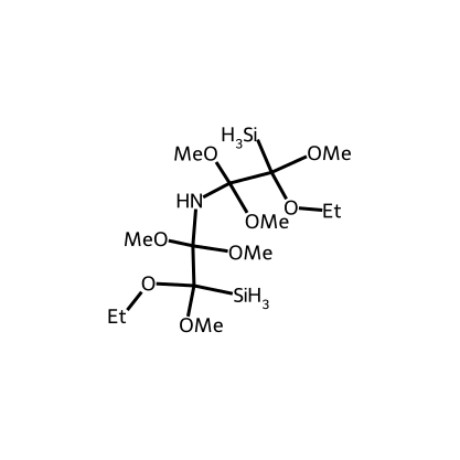 CCOC([SiH3])(OC)C(NC(OC)(OC)C([SiH3])(OC)OCC)(OC)OC